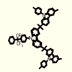 Cc1ccc(-n2c3ccc(C)cc3c3ccc(C(C)(C)c4ccc5c(c4)c4cc(C(C)(C)c6ccc7c8cc(C)ccc8n(-c8ccc(C)cc8)c7c6)ccc4n5-c4ccc(C(c5ccccc5)(C(F)(F)F)C(F)(F)F)cc4)cc32)cc1